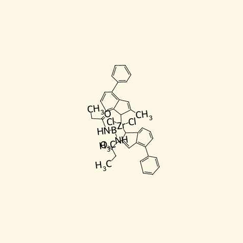 CCC(=O)N[B](NC(=O)CC)[Zr]([Cl])([Cl])([CH]1C(C)=Cc2c(-c3ccccc3)cccc21)[CH]1C(C)=Cc2c(-c3ccccc3)cccc21